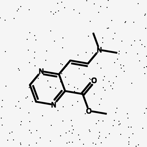 COC(=O)c1nccnc1C=CN(C)C